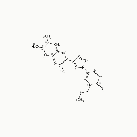 CCCn1cc(-n2cc(-c3ccc(O[C@@H](C)C(C)C)cc3Cl)cn2)ccc1=O